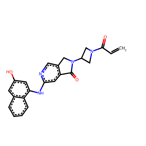 C=CC(=O)N1CC(N2Cc3cnc(Nc4cc(O)cc5ccccc45)cc3C2=O)C1